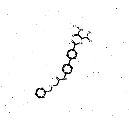 C[C@@H](O)[C@H](NC(=O)c1ccc(-c2ccc(NC(=O)CNCc3ccccn3)cc2)cc1)C(=O)NO